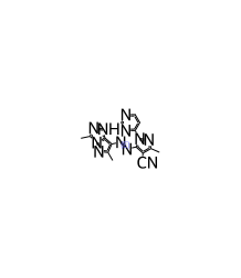 Cc1nn(-c2ccncn2)c(/N=N/c2c(C)nn3c(C)n[nH]c23)c1C#N